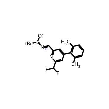 Cc1cccc(C)c1-c1cc(/C=N/[S@+]([O-])C(C)(C)C)nc(C(F)F)c1